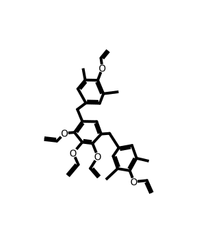 C=COc1c(C)cc(Cc2cc(Cc3cc(C)c(OC=C)c(C)c3)c(OC=C)c(OC=C)c2OC=C)cc1C